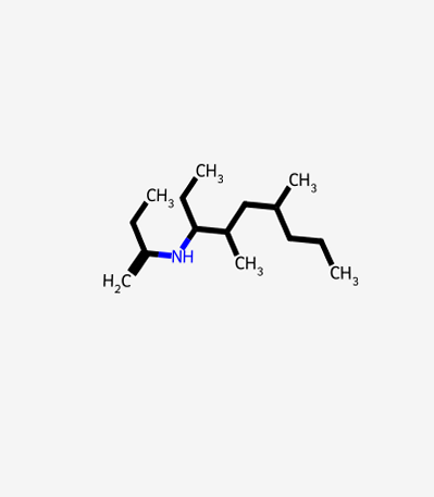 C=C(CC)NC(CC)C(C)CC(C)CCC